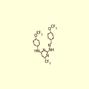 FC(F)(F)Oc1ccc(/C=N/Nc2nc(Nc3ccc(OC(F)(F)F)cc3)cc(C(F)(F)F)n2)cc1